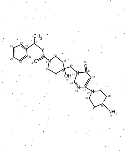 CC(CC(=O)N1CCC(O)(Cn2cnc(N3CCC(N)CC3)cc2=O)CC1)c1ccccc1